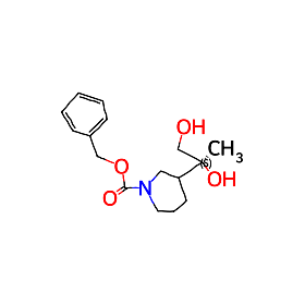 C[C@@](O)(CO)C1CCCN(C(=O)OCc2ccccc2)C1